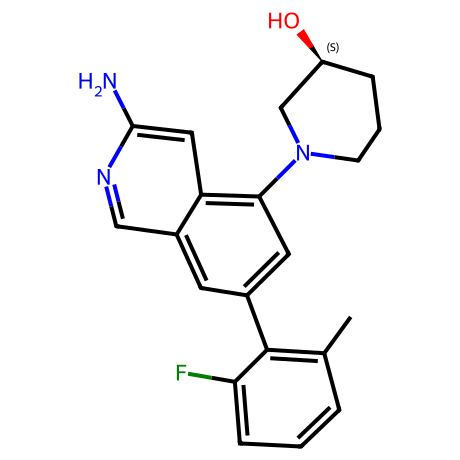 Cc1cccc(F)c1-c1cc(N2CCC[C@H](O)C2)c2cc(N)ncc2c1